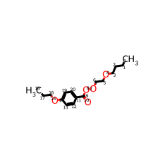 CCCCOC[CH]OOC(=O)c1ccc(OCCC)cc1